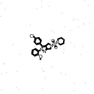 COc1ccccc1-n1nc2c(c1-c1ccc(Cl)cc1)CN(S(=O)(=O)N1CCCCC1)C2